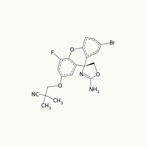 CC(C)(C#N)COc1cc(F)c2c(c1)[C@]1(COC(N)=N1)c1cc(Br)ccc1O2